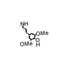 COc1cc(/C=C/C=N)cc(OC)c1O